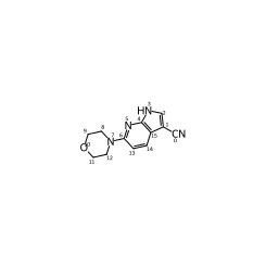 N#Cc1c[nH]c2nc(N3CCOCC3)ccc12